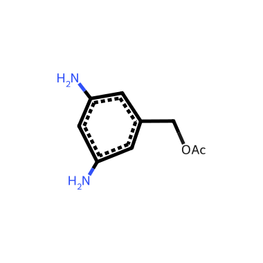 CC(=O)OCc1cc(N)cc(N)c1